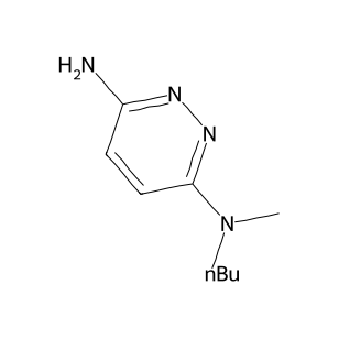 CCCCN(C)c1ccc(N)nn1